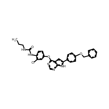 CCCNC(=O)Nc1ccc(Oc2ncnc3[nH]c(-c4ccc(OCc5ccccc5)cc4)cc23)cc1Cl